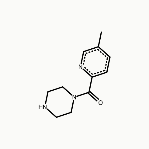 Cc1ccc(C(=O)N2CCNCC2)nc1